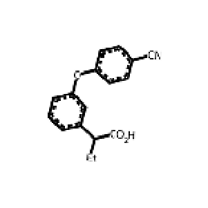 CCC(C(=O)O)c1cccc(Oc2ccc(C#N)cc2)c1